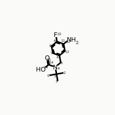 CC(C)(C)N(Cc1ccc(F)c(N)c1)C(=O)O